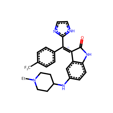 CCN1CCC(Nc2ccc3c(c2)/C(=C(\c2ccc(C(F)(F)F)cc2)c2ncc[nH]2)C(=O)N3)CC1